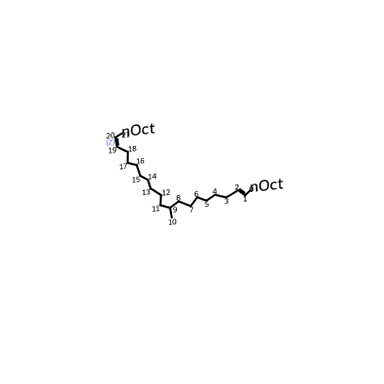 CCCCCCCCC=CCCCCCCC(C)CCCCCCCC/C=C\CCCCCCCC